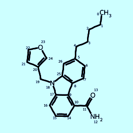 CCCCCc1c[c]c2c3c(C(N)=O)cccc3n(Cc3ccoc3)c2c1